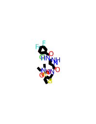 CCN(CC)S(=O)(=O)c1ccsc1CNC(=O)c1cc(NC(=O)c2cc(F)c(F)cc2Cl)[nH]n1